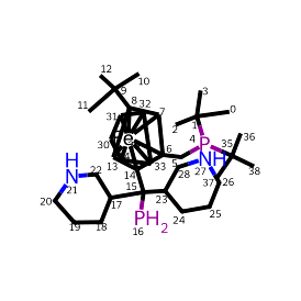 CC(C)(C)P(C[C]12[CH]3[C]4(C(C)(C)C)[CH]5[C]1(C(P)(C1CCCNC1)C1CCCNC1)[Fe]35241678[CH]2[CH]1[CH]6[CH]7[CH]28)C(C)(C)C